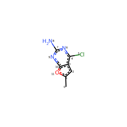 Cc1cc2c(Cl)nc(N)nc2o1